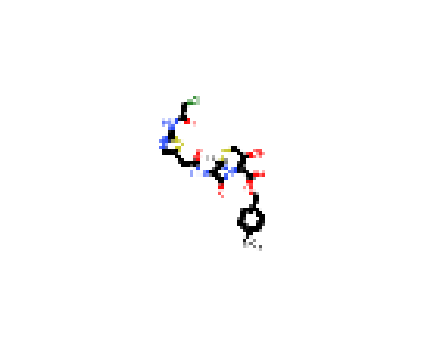 O=C(CCl)Nc1ncc(CC(=O)NC2C(=O)N3C(C(=O)OCc4ccc([N+](=O)[O-])cc4)=C(O)CS[C@@H]23)s1